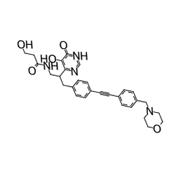 O=C(CCO)NCC(Cc1ccc(C#Cc2ccc(CN3CCOCC3)cc2)cc1)c1nc[nH]c(=O)c1O